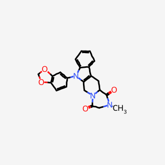 CN1CC(=O)N2Cc3c(c4ccccc4n3-c3ccc4c(c3)OCO4)CC2C1=O